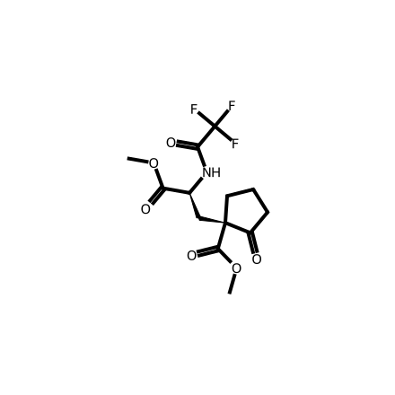 COC(=O)[C@H](C[C@@]1(C(=O)OC)CCCC1=O)NC(=O)C(F)(F)F